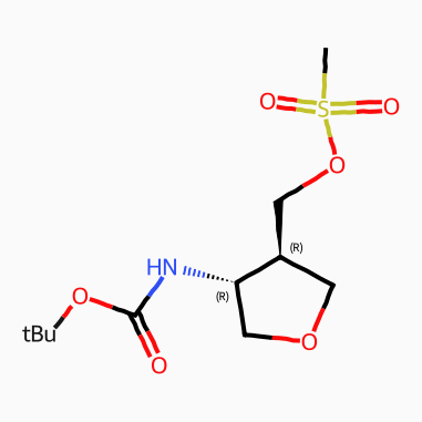 CC(C)(C)OC(=O)N[C@H]1COC[C@@H]1COS(C)(=O)=O